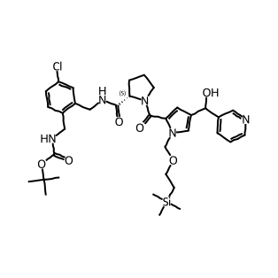 CC(C)(C)OC(=O)NCc1ccc(Cl)cc1CNC(=O)[C@@H]1CCCN1C(=O)c1cc(C(O)c2cccnc2)cn1COCC[Si](C)(C)C